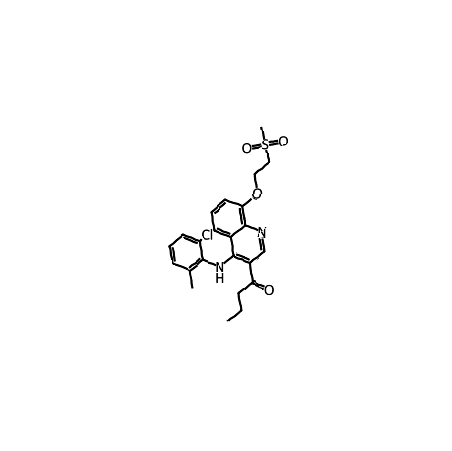 CCCC(=O)c1cnc2c(OCCS(C)(=O)=O)cccc2c1Nc1c(C)cccc1Cl